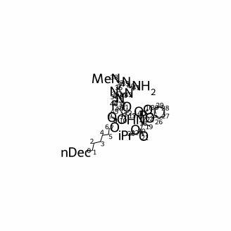 CCCCCCCCCCCCCCCCOC(=O)O[C@@H]1[C@@H](CO[P@@](=O)(N[C@@H](C)C(=O)OC(C)C)Oc2ccccc2)O[C@@H](n2cnc3c(NC)nc(N)nc32)[C@]1(C)F